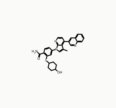 Cc1cn(-c2ccc(C(N)=O)c(SC3CCC(O)CC3)c2)c2nccc(-c3cnc4ccccc4c3)c12